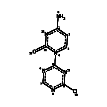 Nc1ccn(-c2ncnc(Cl)n2)c(=O)n1